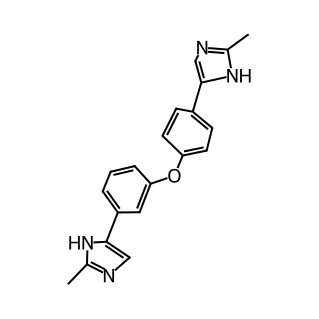 Cc1ncc(-c2ccc(Oc3cccc(-c4cnc(C)[nH]4)c3)cc2)[nH]1